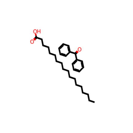 CCCCCCCCCCCCCCCCCC(=O)O.O=C(c1ccccc1)c1ccccc1